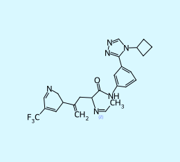 C=C(CC(/N=C\C)C(=O)Nc1cccc(-c2nncn2C2CCC2)c1)C1C=C(C(F)(F)F)C=NC1